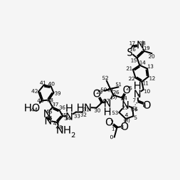 CC(=O)O[C@@H]1C[C@@H](C(=O)NCc2ccc(-c3scnc3C)cc2)N(C(=O)[C@@H](NC(=O)CNCCNc2cc(-c3ccccc3O)nnc2N)C(C)(C)C)C1